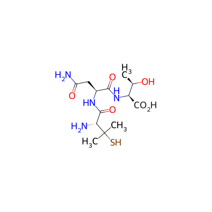 C[C@@H](O)[C@H](NC(=O)[C@H](CC(N)=O)NC(=O)[C@@H](N)C(C)(C)S)C(=O)O